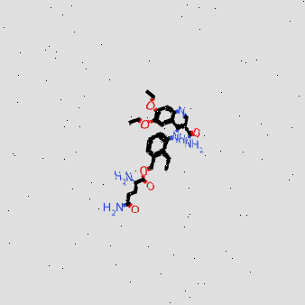 CCOc1cc2ncc(C(N)=O)c(Nc3cccc(COC(=O)[C@@H](N)CCC(N)=O)c3CC)c2cc1OCC